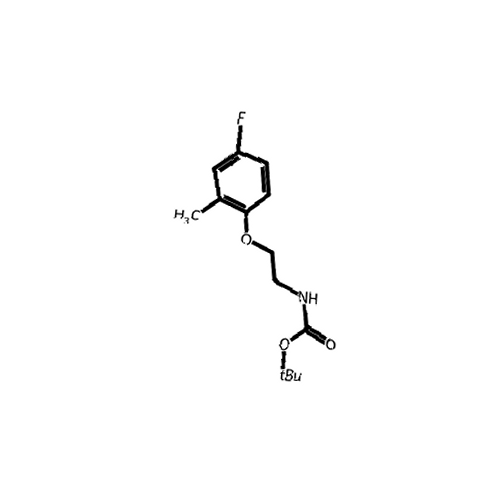 Cc1cc(F)ccc1OCCNC(=O)OC(C)(C)C